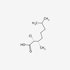 CC(C)CCC[C@H](C)[C@@H](Cl)C(=O)O